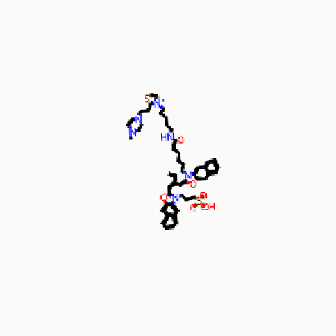 CCC(=Cc1oc2cc3ccccc3cc2[n+]1CCCS(=O)(=O)O)C=C1Oc2cc3ccccc3cc2N1CCCCCC(=O)NCCCCC[N+]1=C(C=CN2CCN(C)CC2)SCC1